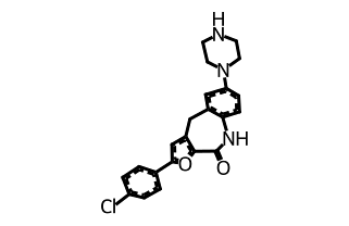 O=C1Nc2ccc(N3CCNCC3)cc2Cc2cc(-c3ccc(Cl)cc3)oc21